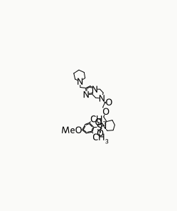 COc1cc(C)c(S(=O)(=O)N2CCCCC2COCC(=O)N2CCn3cc(CN4CCCCC4)nc3C2)c(C)c1